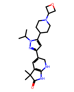 CC(C)n1nc(C2=CC3=C(NC2)NC(=O)C3(C)C)cc1C1CCN(C2COC2)CC1